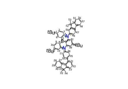 CC(C)(C)c1ccc2c(c1)B1c3ccc(C(C)(C)C)cc3N(c3ccc(-c4cccc5c4-c4ccccc4C5(C)C)cc3)c3cc(C(C)(C)C)cc(c31)N2c1ccc2c(c1)C(C)(C)c1ccccc1-2